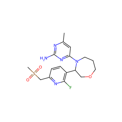 Cc1cc(N2CCCOCC2c2ccc(CS(C)(=O)=O)nc2F)nc(N)n1